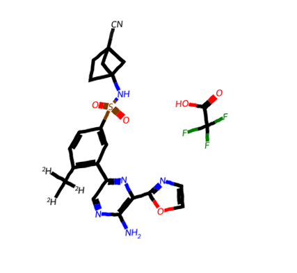 O=C(O)C(F)(F)F.[2H]C([2H])([2H])c1ccc(S(=O)(=O)NC23CCC(C#N)(C2)C3)cc1-c1cnc(N)c(-c2ncco2)n1